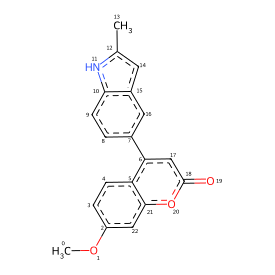 COc1ccc2c(-c3ccc4[nH]c(C)cc4c3)cc(=O)oc2c1